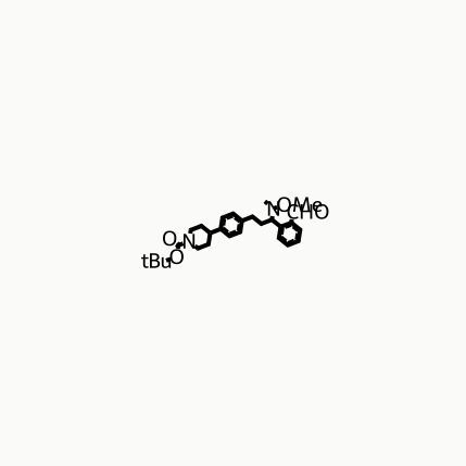 CON(C)C(CCc1ccc(C2CCN(C(=O)OC(C)(C)C)CC2)cc1)c1ccccc1C=O